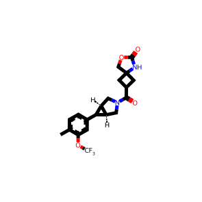 Cc1ccc(C2[C@H]3CN(C(=O)C4CC5(COC(=O)N5)C4)C[C@@H]23)cc1OC(F)(F)F